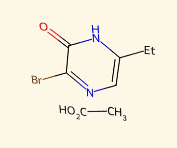 CC(=O)O.CCc1cnc(Br)c(=O)[nH]1